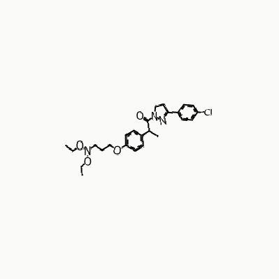 CCON(CCCOc1ccc(C(C)C(=O)N2CCC(c3ccc(Cl)cc3)=N2)cc1)OCC